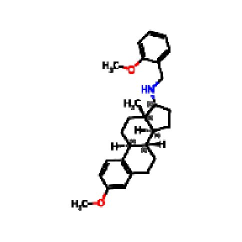 COc1ccc2c(c1)CC[C@@H]1[C@@H]2CC[C@]2(C)[C@H](NCc3ccccc3OC)CC[C@@H]12